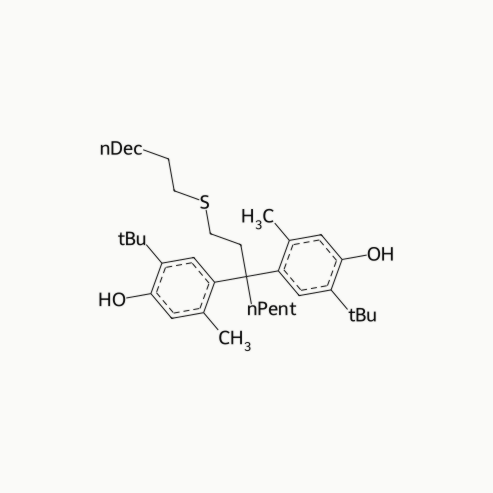 CCCCCCCCCCCCSCCC(CCCCC)(c1cc(C(C)(C)C)c(O)cc1C)c1cc(C(C)(C)C)c(O)cc1C